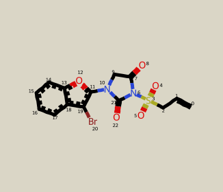 C=CCS(=O)(=O)N1C(=O)CN(c2oc3ccccc3c2Br)C1=O